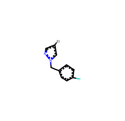 CCc1cnn(Cc2ccc(F)cc2)c1